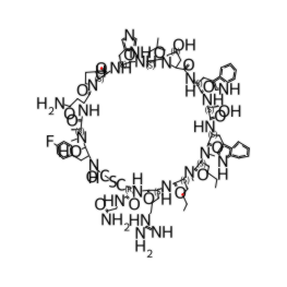 CCCC[C@H]1C(=O)N(C)[C@@H](CCCC)C(=O)N[C@@H](CCCNC(=N)N)C(=O)N[C@H](C(=O)NCC(N)=O)CSCC(=O)NC(Cc2ccc(F)cc2)C(O)N(C)[C@@H](C)C(=O)NC(CC(N)=O)C(=O)N2CCC[C@H]2C(=O)N[C@@H](Cc2cnc[nH]2)C(=O)N[C@@H](CC(C)C)C(=O)N2C[C@H](O)CC2C(=O)N[C@@H](Cc2c[nH]c3ccccc23)C(=O)N[C@@H](CO)C(=O)N[C@@H](Cc2c[nH]c3ccccc23)C(=O)N1C